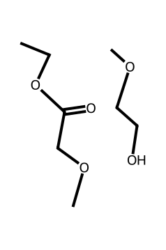 CCOC(=O)COC.COCCO